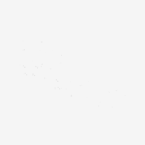 CCCN1NC(C(C)C)C(C(=O)OC(C)OC(=O)OC2CCCCC2)=C1Cc1ccc(-c2ccccc2-c2nn[nH]n2)cc1